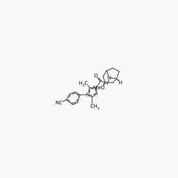 CO[C@H]1CC2CC[C@H](C1)N2CC(=O)c1cc(C)n(-c2ccc(C#N)cc2)c1C